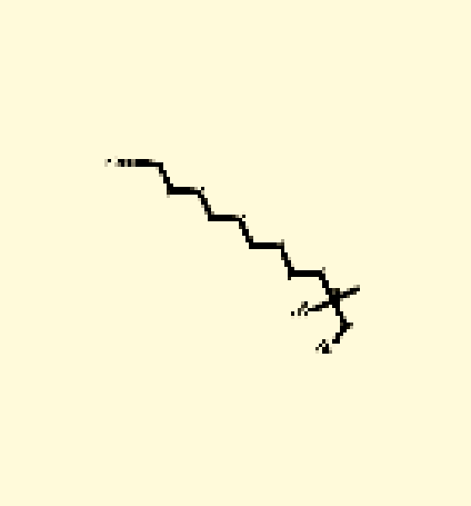 CCCCCCCCCCCCCCCCCCCC(C)(CCC)CN=O